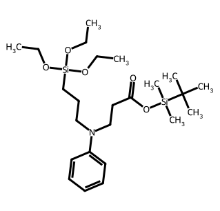 CCO[Si](CCCN(CCC(=O)O[Si](C)(C)C(C)(C)C)c1ccccc1)(OCC)OCC